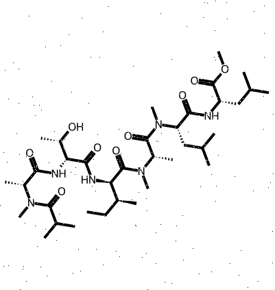 CC[C@H](C)[C@@H](NC(=O)[C@H](NC(=O)[C@@H](C)N(C)C(=O)C(C)C)[C@H](C)O)C(=O)N(C)[C@@H](C)C(=O)N(C)[C@@H](CC(C)C)C(=O)N[C@@H](CC(C)C)C(=O)OC